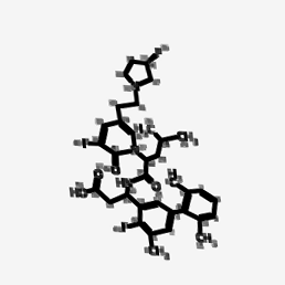 Cc1cc(-c2c(C)cccc2C)cc(C(CC(=O)O)NC(=O)C(CC(C)C)n2cc(CCN3CC[C@@H](F)C3)cc(F)c2=O)c1F